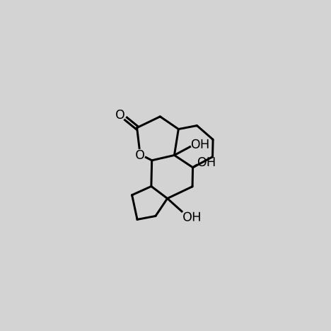 O=C1CC2CCCC3(O)CC4(O)CCCC4C(O1)C23O